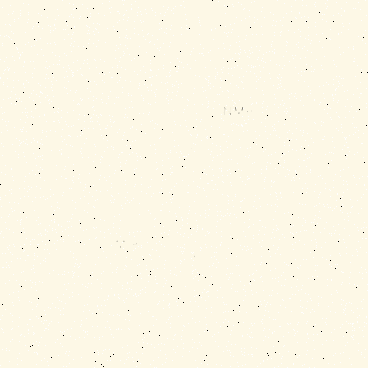 CNCc1ccc(C(=O)OC)cc1C(F)(F)F